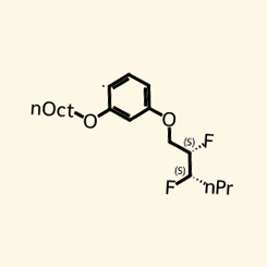 CCCCCCCCOc1[c]ccc(OC[C@H](F)[C@@H](F)CCC)c1